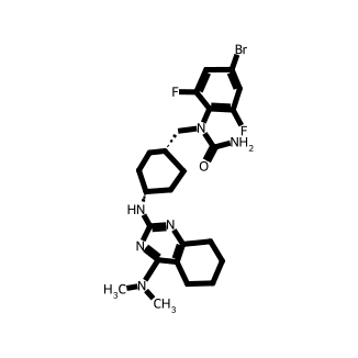 CN(C)c1nc(N[C@H]2CC[C@@H](CN(C(N)=O)c3c(F)cc(Br)cc3F)CC2)nc2c1CCCC2